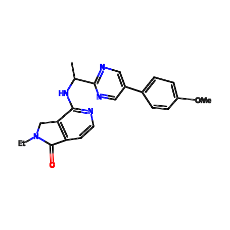 CCN1Cc2c(ccnc2NC(C)c2ncc(-c3ccc(OC)cc3)cn2)C1=O